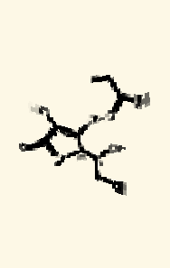 CCC(=O)O.O=C1O[C@H]([C@@H](O)CO)C(O)=C1O